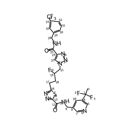 CC(F)(F)c1cncc(CNC(=O)c2nnc(CCC(F)Cn3cc(C(=O)NCc4cccc(C(F)(F)F)c4)nn3)s2)c1